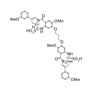 COc1cccc(C2=CN3C(=O)c4cc(OC)c(OCCCOc5cc6c(cc5OC)C(=O)N5C=C(c7cccc(OC)c7)C[C@H]5[C@H](S(=O)(=O)O)N6)cc4N[C@@H](S(=O)(=O)O)[C@@H]3C2)c1